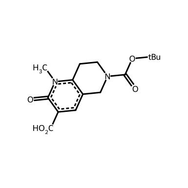 Cn1c2c(cc(C(=O)O)c1=O)CN(C(=O)OC(C)(C)C)CC2